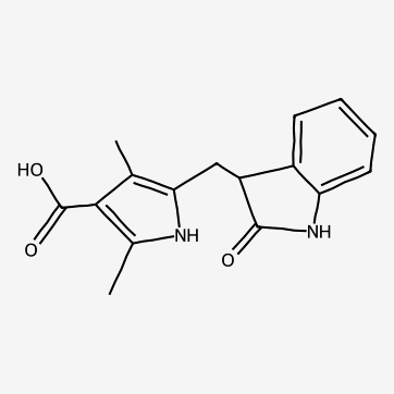 Cc1[nH]c(CC2C(=O)Nc3ccccc32)c(C)c1C(=O)O